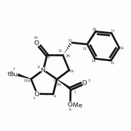 COC(=O)[C@@]12CO[C@@H](C(C)(C)C)N1C(=O)[C@H](Cc1ccccc1)C2